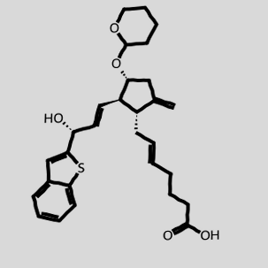 C=C1C[C@@H](OC2CCCCO2)[C@H](C=C[C@@H](O)c2cc3ccccc3s2)[C@H]1CC=CCCCC(=O)O